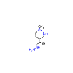 CCC(=C\NN)/C1=C/C=C\N(C)CNC1